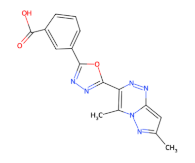 Cc1cc2nnc(-c3nnc(-c4cccc(C(=O)O)c4)o3)c(C)n2n1